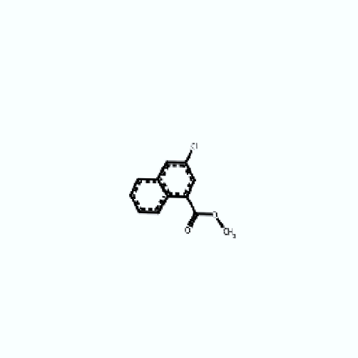 COC(=O)c1cc(Cl)cc2ccccc12